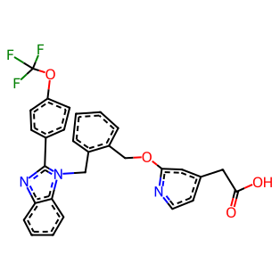 O=C(O)Cc1ccnc(OCc2ccccc2Cn2c(-c3ccc(OC(F)(F)F)cc3)nc3ccccc32)c1